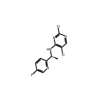 C[C@H](Nc1nc(Cl)ncc1Cl)c1ccc(F)cn1